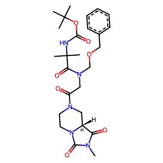 CN1C(=O)[C@H]2CN(C(=O)CN(COCc3ccccc3)C(=O)C(C)(C)NC(=O)OC(C)(C)C)CCN2C1=O